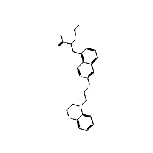 CCOC(Cc1cccc2cc(OCCN3CCSc4ccccc43)ccc12)C(=O)O